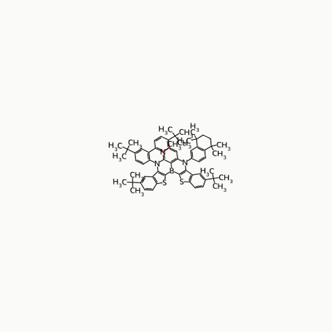 Cc1cc2c3c(n1)N(c1ccc(C(C)(C)C)cc1-c1ccc(C(C)(C)C)cc1)c1c(sc4ccc(C(C)(C)C)cc14)B3c1sc3ccc(C(C)(C)C)cc3c1N2c1ccc2c(c1)C(C)(C)CCC2(C)C